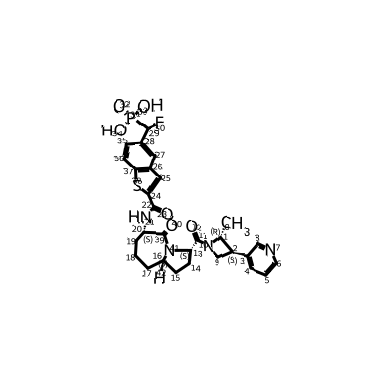 C[C@@H]1[C@@H](c2cccnc2)CN1C(=O)[C@@H]1CC[C@@H]2CCC[C@H](NC(=O)c3cc4cc(C(F)P(=O)(O)O)ccc4s3)C(=O)N21